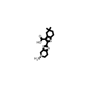 CC1(C)CCc2sc(-c3nc4c(s3)CN(N)CC4)c(C(=O)O)c2C1